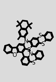 Cc1cc2c(cc1N1c3cc4c(cc3B3c5c1cc1c(oc6ccccc61)c5-c1cccc5c1N3c1ccccc1S5)Sc1ccccc1S4)C(C)(C)CCC2(C)C